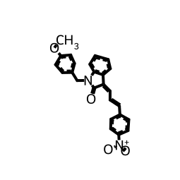 COc1ccc(CN2C(=O)C(=CC=Cc3ccc([N+](=O)[O-])cc3)c3ccccc32)cc1